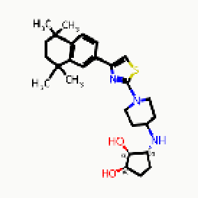 CC1(C)CCC(C)(C)c2cc(-c3csc(N4CCC(N[C@@H]5CC[C@@H](O)[C@H]5O)CC4)n3)ccc21